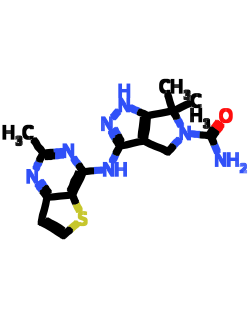 Cc1nc(Nc2n[nH]c3c2CN(C(N)=O)C3(C)C)c2sccc2n1